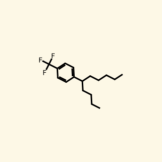 CCCCCC(CCCC)c1ccc(C(F)(F)F)cc1